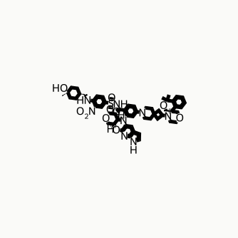 CC1(C)OC[C@]2(COCCN2C2CC3(CCN(c4ccc(C(=O)NS(=O)(=O)c5ccc(NC[C@H]6CC[C@](C)(O)CC6)c([N+](=O)[O-])c5)c(N5c6cc7cc[nH]c7nc6O[C@H]6COCC[C@@H]65)c4)CC3)C2)c2ccccc21